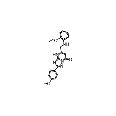 CCOc1ccccc1NCc1cc(=O)n2nc(-c3ccc(OC)cc3)nc2[nH]1